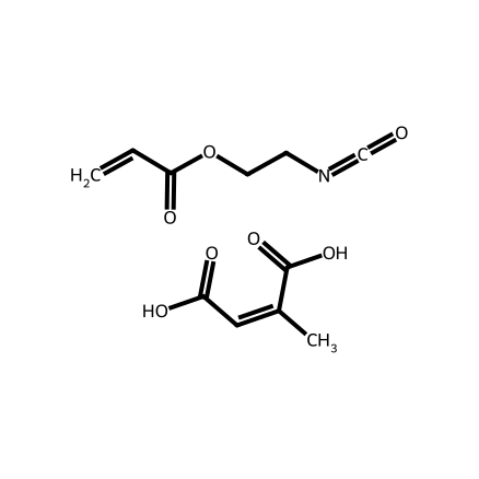 C/C(=C/C(=O)O)C(=O)O.C=CC(=O)OCCN=C=O